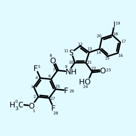 COc1cc(F)c(C(=O)Nc2scc(-c3cccc(I)c3)c2C(=O)O)c(F)c1F